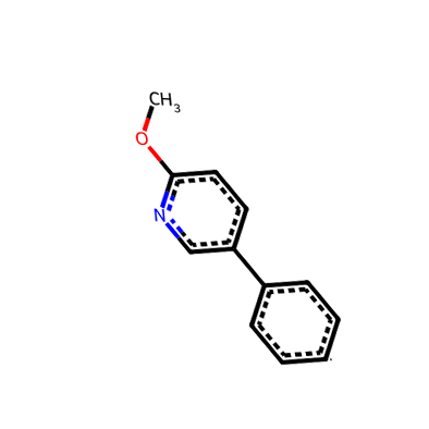 COc1ccc(-c2cc[c]cc2)cn1